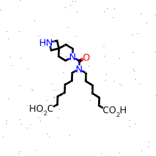 O=C(O)CCCCCCN(CCCCCCC(=O)O)C(=O)N1CCC2(CC1)CNC2